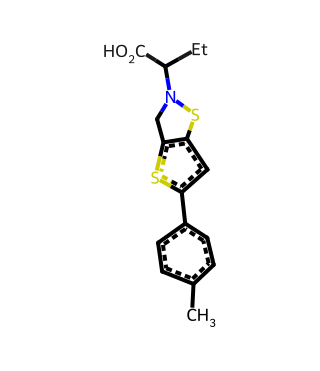 CCC(C(=O)O)N1Cc2sc(-c3ccc(C)cc3)cc2S1